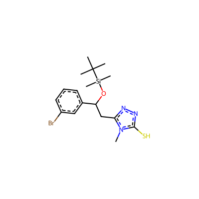 Cn1c(S)nnc1CC(O[Si](C)(C)C(C)(C)C)c1cccc(Br)c1